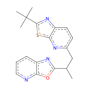 CC(Cc1ccc2nc(C(C)(C)C)sc2n1)c1nc2cccnc2o1